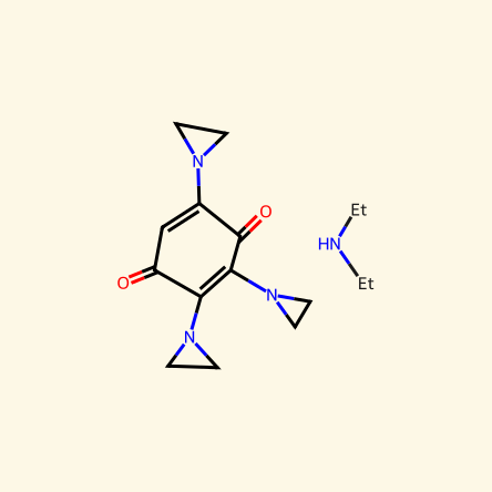 CCNCC.O=C1C=C(N2CC2)C(=O)C(N2CC2)=C1N1CC1